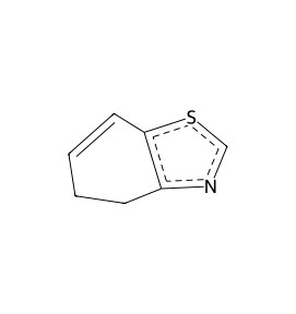 C1=Cc2scnc2CC1